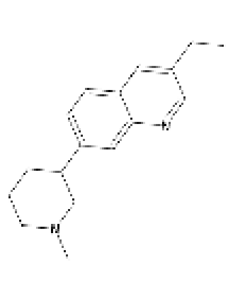 CCc1cnc2cc(C3CCCN(C)C3)ccc2c1